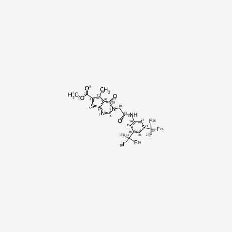 COC(=O)c1sc2ncn(CC(=O)Nc3cc(C(F)(F)F)cc(C(F)(F)F)c3)c(=O)c2c1C